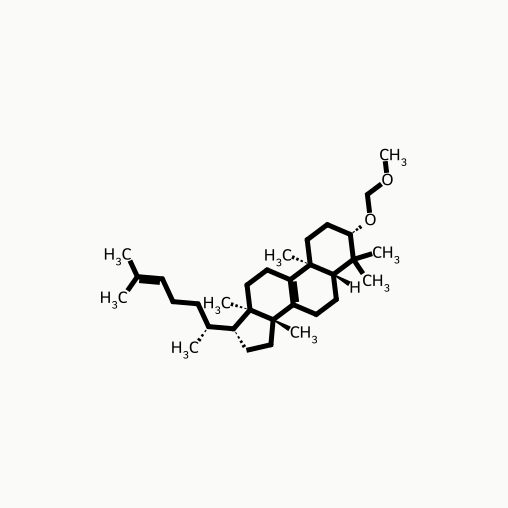 COCO[C@H]1CC[C@]2(C)C3=C(CC[C@H]2C1(C)C)[C@]1(C)CC[C@H]([C@H](C)CCC=C(C)C)[C@@]1(C)CC3